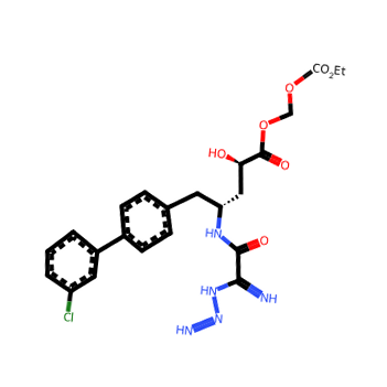 CCOC(=O)OCOC(=O)[C@H](O)C[C@@H](Cc1ccc(-c2cccc(Cl)c2)cc1)NC(=O)C(=N)NN=N